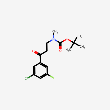 CN(CCC(=O)c1cc(F)cc(Cl)c1)C(=O)OC(C)(C)C